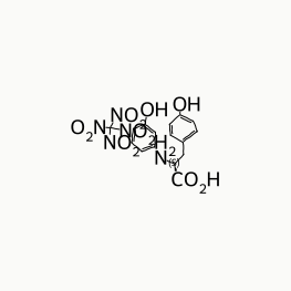 N[C@@H](Cc1ccc(O)cc1)C(=O)O.O=[N+]([O-])C([N+](=O)[O-])([N+](=O)[O-])[N+](=O)[O-].Oc1ccccc1